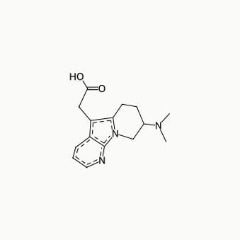 CN(C)C1CCc2c(CC(=O)O)c3cccnc3n2C1